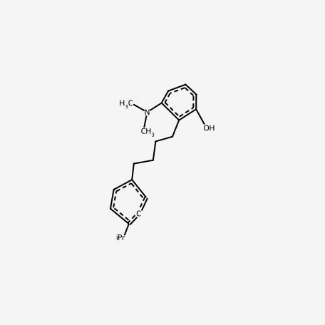 CC(C)c1ccc(CCCCc2c(O)cccc2N(C)C)cc1